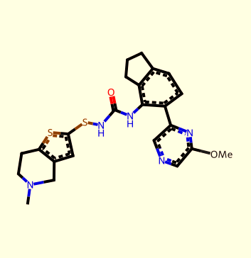 COc1cncc(-c2ccc3c(c2NC(=O)NSc2cc4c(s2)CCN(C)C4)CCC3)n1